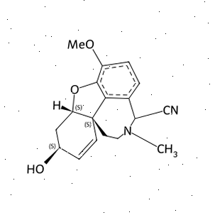 COc1ccc2c3c1O[C@H]1C[C@H](O)C=C[C@@]31CCN(C)C2C#N